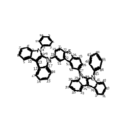 c1ccc(-n2c3ccccc3c3c4ccccc4n(-c4ccc5sc6ccc(-n7c8ccccc8c8c9ccccc9n(-c9ccccc9)c87)cc6c5c4)c32)cc1